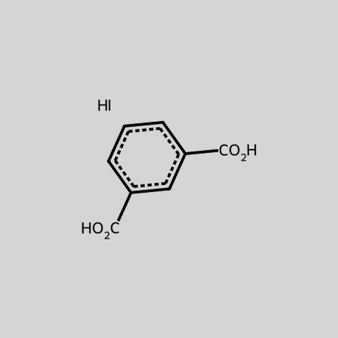 I.O=C(O)c1cccc(C(=O)O)c1